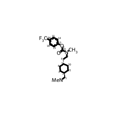 CNC[C@H]1CC[C@H](CCN(C)C(=O)Oc2ccc(C(F)(F)F)cc2)CC1